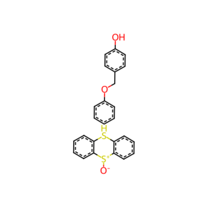 [O-][S+]1c2ccccc2[SH](c2ccc(OCc3ccc(O)cc3)cc2)c2ccccc21